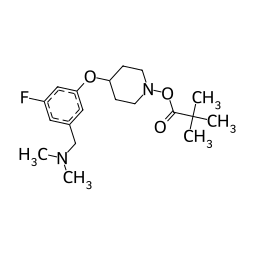 CN(C)Cc1cc(F)cc(OC2CCN(OC(=O)C(C)(C)C)CC2)c1